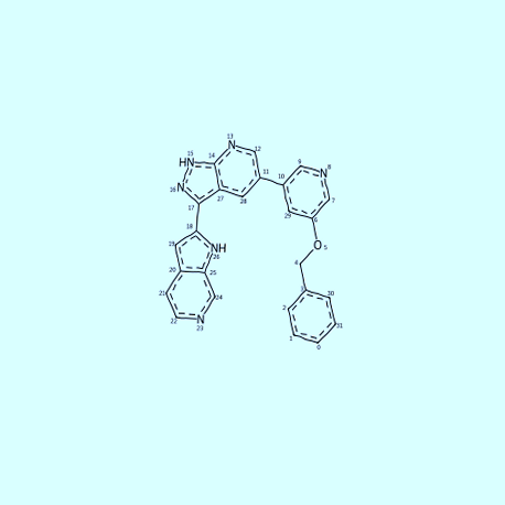 c1ccc(COc2cncc(-c3cnc4[nH]nc(-c5cc6ccncc6[nH]5)c4c3)c2)cc1